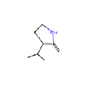 C=C1NCCC1C(C)C